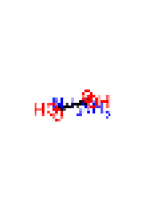 NC(CCCCCCC(N)C(=O)O)C(=O)O